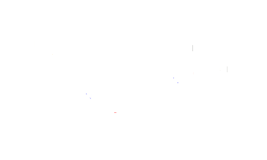 CC(C)OC(=O)N1CCc2cc(O[C@H]3CCN(c4ccc(S(C)(=O)=O)cc4F)C3)ccc2C1